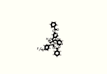 CC(c1ccnc(OC(=O)c2ccccc2)c1)C1(C(C)c2ccnc(OC(=O)c3ccccc3)c2)NC(=O)N(c2ccc(OC(F)(F)F)cc2)C1=O